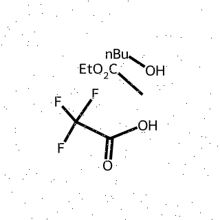 CCCCO.CCOC(C)=O.O=C(O)C(F)(F)F